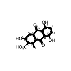 Cc1c(C(=O)O)c(O)cc2c1C(=O)c1c(O)ccc(O)c1C2=O